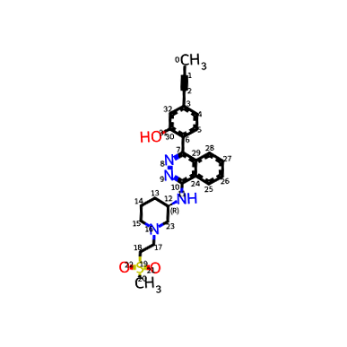 CC#Cc1ccc(-c2nnc(N[C@@H]3CCCN(CCS(C)(=O)=O)C3)c3ccccc23)c(O)c1